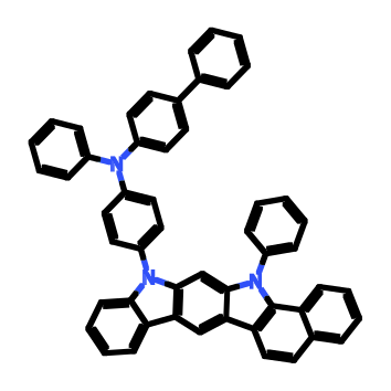 c1ccc(-c2ccc(N(c3ccccc3)c3ccc(-n4c5ccccc5c5cc6c7ccc8ccccc8c7n(-c7ccccc7)c6cc54)cc3)cc2)cc1